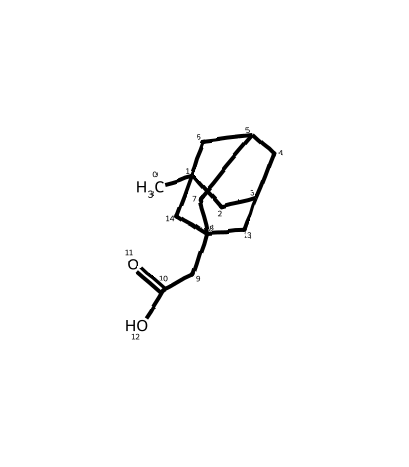 CC12CC3CC(C1)CC(CC(=O)O)(C3)C2